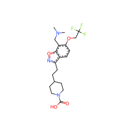 CN(C)Cc1c(OCC(F)(F)F)ccc2c(CCC3CCN(C(=O)O)CC3)noc12